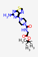 CC(C)(C)OC(=O)CNC(=O)N1CCN(c2nc(N)nc3scnc23)CC1